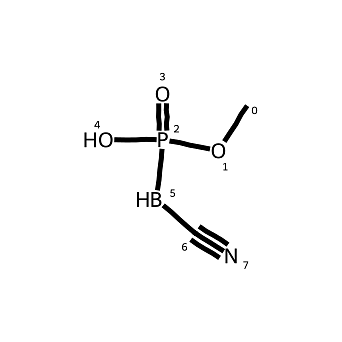 COP(=O)(O)BC#N